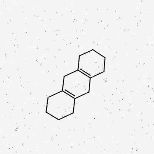 C1CCC2=C(C1)CC1=C(CCCC1)C2